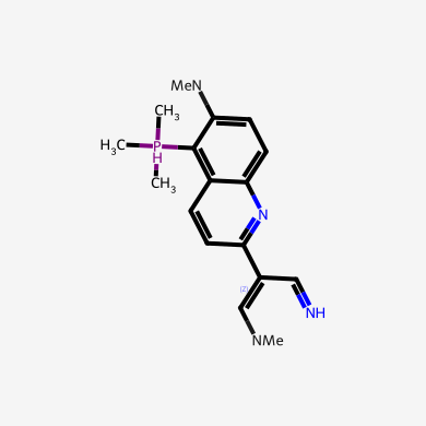 CN/C=C(\C=N)c1ccc2c([PH](C)(C)C)c(NC)ccc2n1